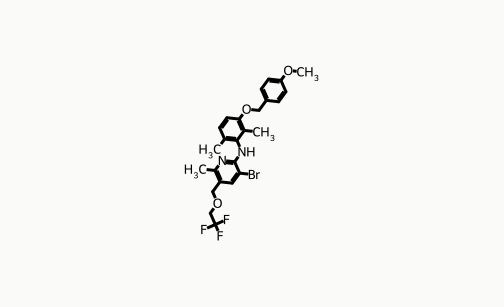 COc1ccc(COc2ccc(C)c(Nc3nc(C)c(COCC(F)(F)F)cc3Br)c2C)cc1